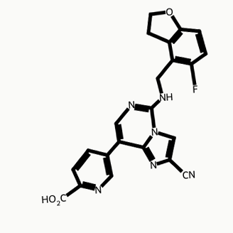 N#Cc1cn2c(NCc3c(F)ccc4c3CCO4)ncc(-c3ccc(C(=O)O)nc3)c2n1